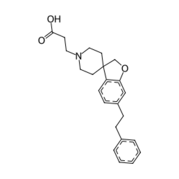 O=C(O)CCN1CCC2(CC1)COc1cc(CCc3ccccc3)ccc12